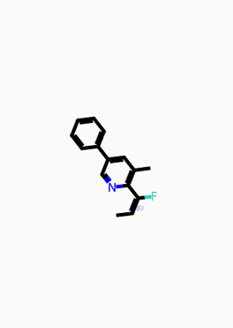 C/C=C(/F)c1ncc(-c2ccccc2)cc1C